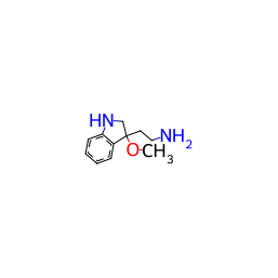 COC1(CCN)CNc2ccccc21